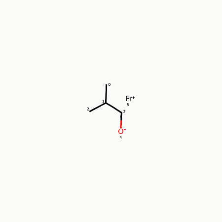 CC(C)C[O-].[Fr+]